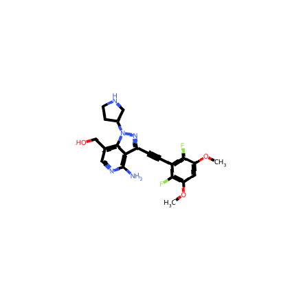 COc1cc(OC)c(F)c(C#Cc2nn(C3CCNC3)c3c(CO)cnc(N)c23)c1F